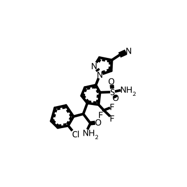 N#Cc1cnn(-c2ccc(C(C(N)=O)c3ccccc3Cl)c(C(F)(F)F)c2S(N)(=O)=O)c1